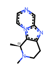 C[C@H]1c2c(nc3cnccn23)CCN1C